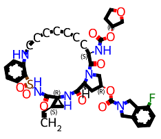 C=C[C@@H]1C[C@@]12NC(=O)[C@@H]1C[C@@H](OC(=O)N3Cc4cccc(F)c4C3)CN1C(=O)[C@@H](NC(=O)O[C@@H]1CCOC1)CCCCCCCNc1ccccc1S(=O)(=O)NC2=O